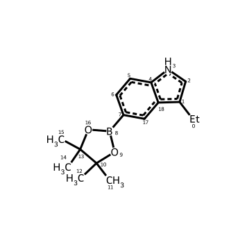 CCc1c[nH]c2ccc(B3OC(C)(C)C(C)(C)O3)cc12